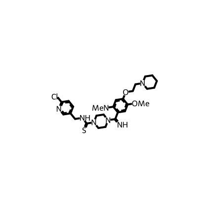 CNc1cc(OCCN2CCCCC2)c(OC)cc1C(=N)N1CCN(C(=S)NCc2ccc(Cl)nc2)CC1